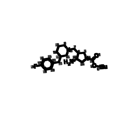 CC(C)(C)OC(=O)N1C[C@H](CN2CCCC(Cc3ccc(F)cc3)C2)[C@H](N)C1